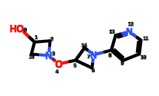 OC1CN(OC2CN(c3cccnc3)C2)C1